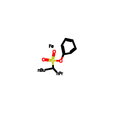 CCCCC(CCC)S(=O)(=O)Oc1ccccc1.[Fe]